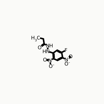 CCC(=O)NNc1cc(F)c([N+](=O)[O-])cc1[N+](=O)[O-]